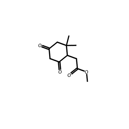 COC(=O)CC1C(=O)CC(=O)CC1(C)C